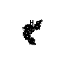 CCOc1cccc(C(=O)Nc2ccc(C)c(-n3cnc4ccc(N5CCN(C)CC5)cc4c3=O)c2)c1